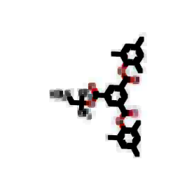 Cc1cc(C)c(OC(=O)c2cc(C(=O)Oc3c(C)cc(C)cc3C)cc(C(=O)OC(CS(=O)(=O)O)(C(F)(F)F)C(F)(F)F)c2)c(C)c1